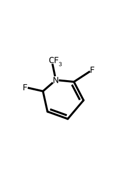 FC1=CC=CC(F)N1C(F)(F)F